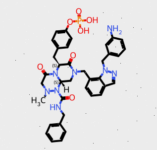 CN1CC(=O)N2[C@@H](Cc3ccc(OP(=O)(O)O)cc3)C(=O)N(Cc3cccc4cnn(Cc5cccc(N)c5)c34)C[C@@H]2N1C(=O)NCc1ccccc1